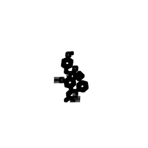 COc1ccc(CN2C(=O)C3(CCC3)c3cc(/C(=C/C(C)=N)Nc4ccccc4)cc(O)c32)cc1